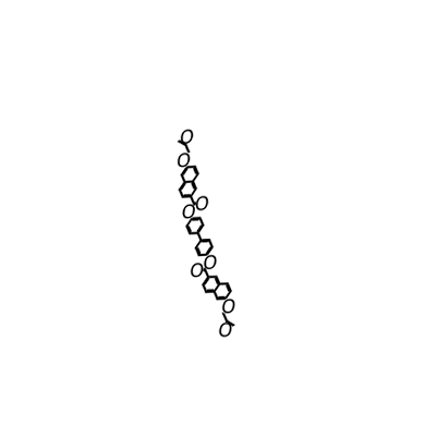 O=C(Oc1ccc(-c2ccc(OC(=O)c3ccc4cc(OCC5CO5)ccc4c3)cc2)cc1)c1ccc2cc(OCC3CO3)ccc2c1